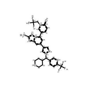 Nc1nc2cc(-c3cnn(C(c4ccc(C(F)(F)F)nc4)C4CCOCC4)c3)cc(-c3ccc(=O)n(CC(F)(F)F)c3)n2n1